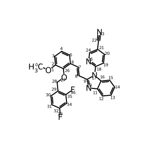 COc1cccc(C=Cc2nc3ccccc3n2-c2ccc(C#N)cn2)c1OCc1ccc(F)cc1F